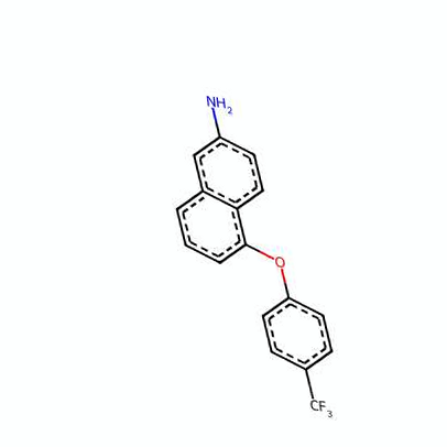 Nc1ccc2c(Oc3ccc(C(F)(F)F)cc3)cccc2c1